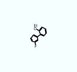 CCOc1ccccc1-c1cc[c]c(F)c1